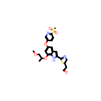 COCC(C)Oc1cc(Oc2ccc(S(C)(=O)=O)nc2)cc2cc(C3=NCC(CC=O)S3)[nH]c12